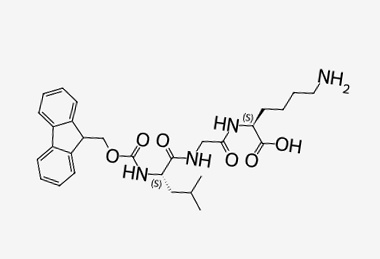 CC(C)C[C@H](NC(=O)OCC1c2ccccc2-c2ccccc21)C(=O)NCC(=O)N[C@@H](CCCCN)C(=O)O